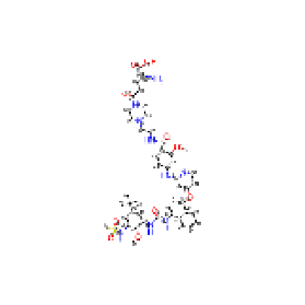 COc1cc(Nc2cc(Oc3ccc(NC(=O)Nc4cc(C(C)(C)C)cc(NS(C)(=O)=O)c4OC)c4ccccc34)ccn2)ccc1C(=O)NCCN1CCN(C(=O)CC[C@H](N)C(=O)O)CC1